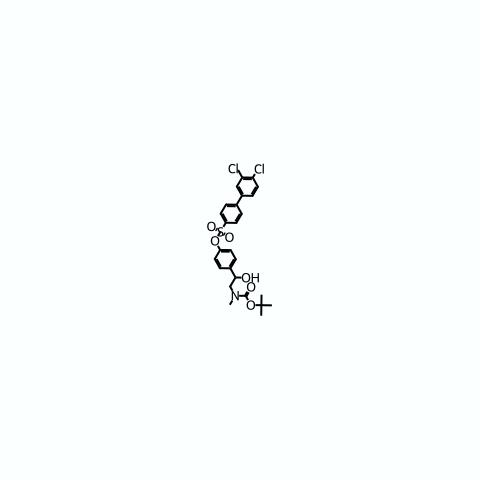 CN(CC(O)c1ccc(OS(=O)(=O)c2ccc(-c3ccc(Cl)c(Cl)c3)cc2)cc1)C(=O)OC(C)(C)C